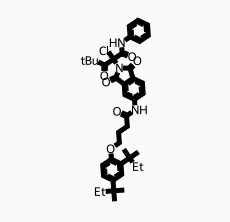 CCC(C)(C)c1ccc(OCCCC(=O)Nc2ccc3c(c2)C(=O)N(C(Cl)(C(=O)Nc2ccccc2)C(=O)C(C)(C)C)C3=O)c(C(C)(C)CC)c1